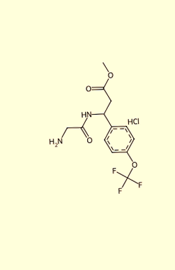 COC(=O)CC(NC(=O)CN)c1ccc(OC(F)(F)F)cc1.Cl